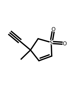 C#CC1(C)C=CS(=O)(=O)C1